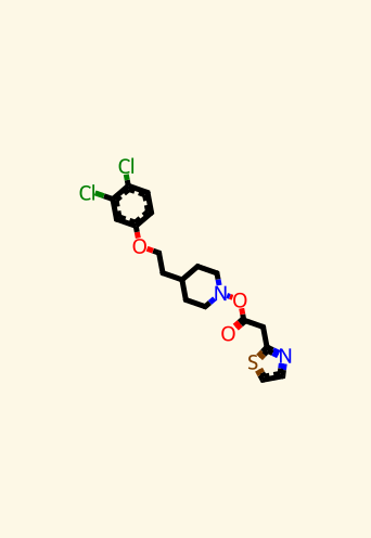 O=C(Cc1nccs1)ON1CCC(CCOc2ccc(Cl)c(Cl)c2)CC1